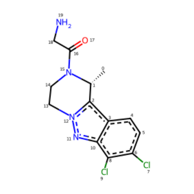 C[C@@H]1c2c3ccc(Cl)c(Cl)c3nn2CCN1C(=O)CN